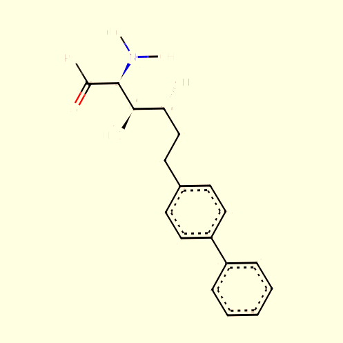 CC(C)C(=O)[C@H]([C@H](C)[C@H](C)CCc1ccc(-c2ccccc2)cc1)N(C)C(C)C